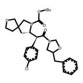 CC(C)(C)OC(=O)N1CC2(CCOC2)C[C@H]1[C@@H](C(=O)N1COC(Cc2ccccc2)C1)c1ccc(Cl)cc1